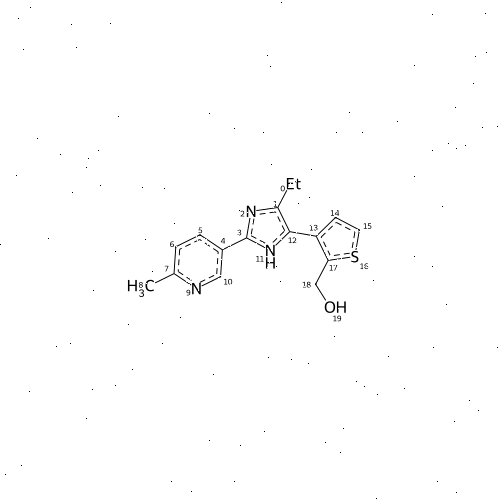 CCc1nc(-c2ccc(C)nc2)[nH]c1-c1ccsc1CO